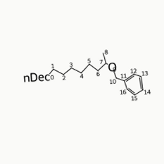 CCCCCCCCCCCCCCCCC(C)OCc1ccccc1